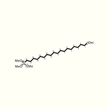 CCCCCCCCCCCCCCCCCCCCCCCCCCCC[Si](OC)(OC)OC